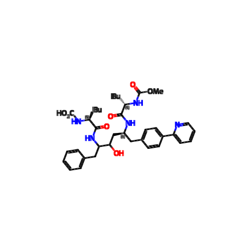 CCC(C)[C@H](NC(=O)O)C(=O)NC(Cc1ccccc1)C(O)C[C@H](Cc1ccc(-c2ccccn2)cc1)NC(=O)[C@@H](NC(=O)OC)C(C)CC